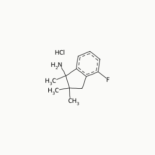 CC1(C)Cc2c(F)cccc2C1(C)N.Cl